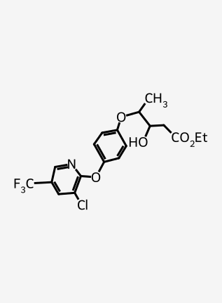 CCOC(=O)CC(O)C(C)Oc1ccc(Oc2ncc(C(F)(F)F)cc2Cl)cc1